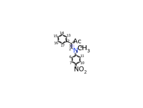 CC(=O)/C(=C\N(C)c1ccc([N+](=O)[O-])cc1)c1ccccc1